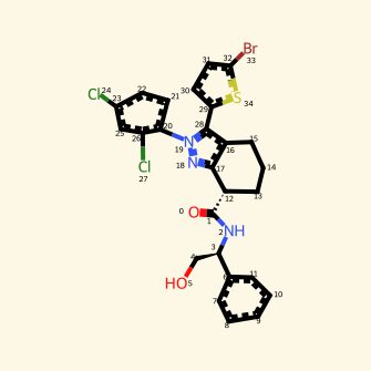 O=C(N[C@H](CO)c1ccccc1)[C@H]1CCCc2c1nn(-c1ccc(Cl)cc1Cl)c2-c1ccc(Br)s1